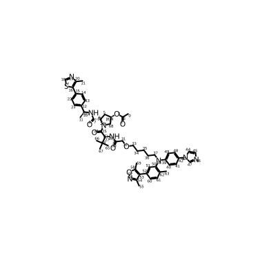 CC(=O)O[C@@H]1C[C@@H](C(=O)N[C@@H](C)c2ccc(-c3scnc3C)cc2)N(C(=O)[C@@H](NC(=O)COCCCCCN(c2ccc(-n3ccnc3)cc2)c2cc(-c3c(C)noc3C)ccc2C)C(C)(C)C)C1